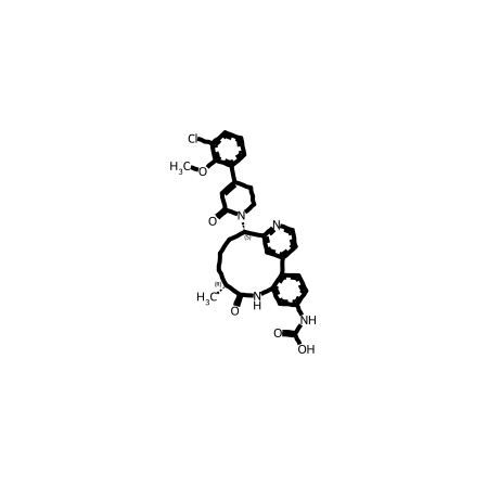 COc1c(Cl)cccc1C1=CC(=O)N([C@H]2CCC[C@@H](C)C(=O)Nc3cc(NC(=O)O)ccc3-c3ccnc2c3)CC1